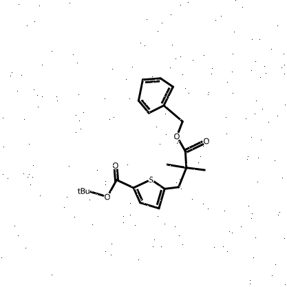 CC(C)(C)OC(=O)c1ccc(CC(C)(C)C(=O)OCc2ccccc2)s1